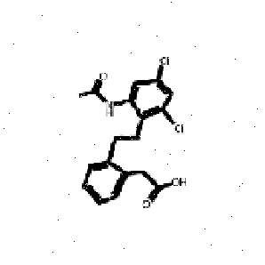 CC(=O)Nc1cc(Cl)cc(Cl)c1CCc1ccccc1CC(=O)O